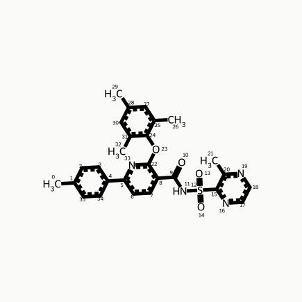 Cc1ccc(-c2ccc(C(=O)NS(=O)(=O)c3nccnc3C)c(Oc3c(C)cc(C)cc3C)n2)cc1